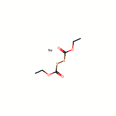 CCOC(=O)SSC(=O)OCC.[Na]